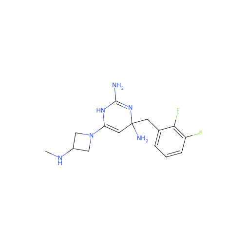 CNC1CN(C2=CC(N)(Cc3cccc(F)c3F)N=C(N)N2)C1